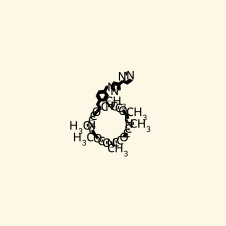 CC1CN(C)CCOCCN(C)CCOC(C)CN(C)CCOC(Cc2ccc(Cn3cc(-c4ccncn4)cn3)cc2)CN(C)CCO1